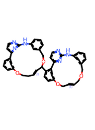 C1=C/C(c2ccc3cc2-c2ccnc(n2)Nc2cccc(c2)COC/C=C/CO3)OCc2cccc(c2)Nc2nccc(n2)-c2cccc(c2)OCC/1